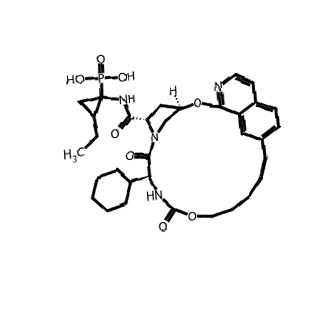 CCC1CC1(NC(=O)[C@@H]1C[C@@H]2CN1C(=O)[C@H](C1CCCCC1)NC(=O)OCCCCCc1ccc3ccnc(c3c1)O2)P(=O)(O)O